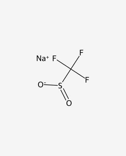 O=S([O-])C(F)(F)F.[Na+]